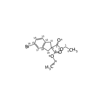 CCOC(=O)C1(C(=O)OCC)Cc2ccc(Br)cc2C1